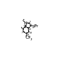 CC(C)c1cn(C)c2ccc(C(F)(F)F)cc12